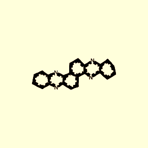 c1ccc2nc3c(ccc4c3ccc3nc5ccccc5nc34)nc2c1